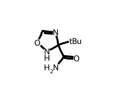 CC(C)(C)C1(C(N)=O)N=CON1